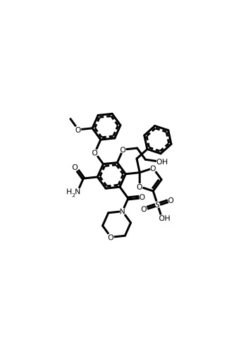 COc1ccccc1Oc1c(C(N)=O)cc(C(=O)N2CCOCC2)c(C2(Cc3ccccc3)OC=C(S(=O)(=O)O)O2)c1OCCO